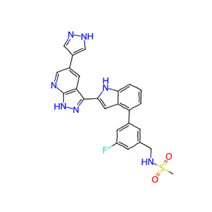 CS(=O)(=O)NCc1cc(F)cc(-c2cccc3[nH]c(-c4n[nH]c5ncc(-c6cn[nH]c6)cc45)cc23)c1